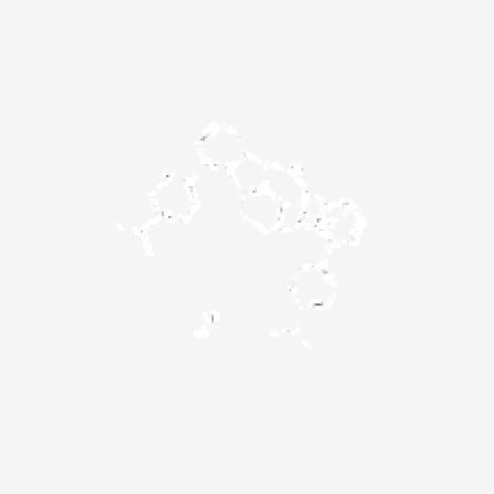 CC(C)C1=C2CCC3=C(C(C)C)[CH]([Zr+2][CH]1c1cccc(-c4ccc(C(C)C)cc4)c12)c1cccc(-c2ccc(C(C)C)cc2)c13.[Cl-].[Cl-]